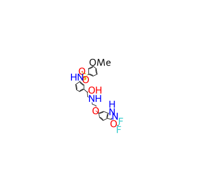 COc1cccc(S(=O)(=O)Nc2cccc([C@@H](O)CNCCOc3ccc4c(OC(F)F)n[nH]c4c3)c2)c1